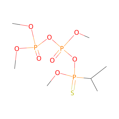 COP(=O)(OC)OP(=O)(OC)OP(=S)(OC)C(C)C